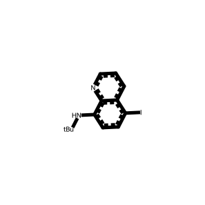 CC(C)(C)Nc1ccc(I)c2cccnc12